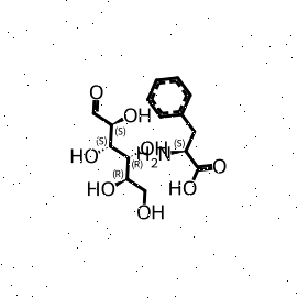 N[C@@H](Cc1ccccc1)C(=O)O.O=C[C@@H](O)[C@@H](O)[C@H](O)[C@H](O)CO